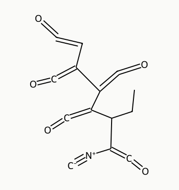 [C-]#[N+]C(=C=O)C(CC)C(=C=O)C(=C=O)C(=C=O)C=C=O